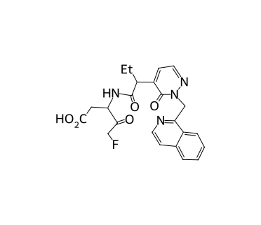 CCC(C(=O)NC(CC(=O)O)C(=O)CF)c1ccnn(Cc2nccc3ccccc23)c1=O